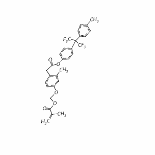 C=C(C)C(=O)OCOc1ccc(CC(=O)Oc2ccc(C(c3ccc(C)cc3)(C(F)(F)F)C(F)(F)F)cc2)c(C)c1